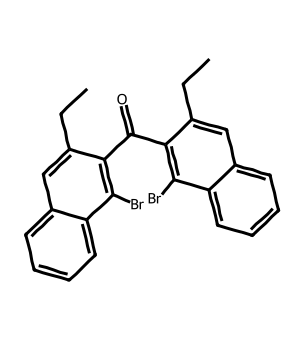 CCc1cc2ccccc2c(Br)c1C(=O)c1c(CC)cc2ccccc2c1Br